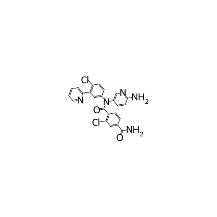 NC(=O)c1ccc(C(=O)N(c2ccc(N)nc2)c2ccc(Cl)c(-c3ccccn3)c2)c(Cl)c1